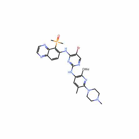 COc1nc(N2CCN(C)CC2)c(C)cc1Nc1ncc(Br)c(Nc2ccc3nccnc3c2P(C)(C)=O)n1